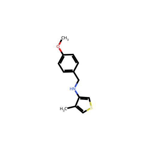 COc1ccc(CNc2cscc2C)cc1